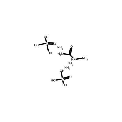 N.N.N.NNC(N)=O.O=P(O)(O)O.O=P(O)(O)O